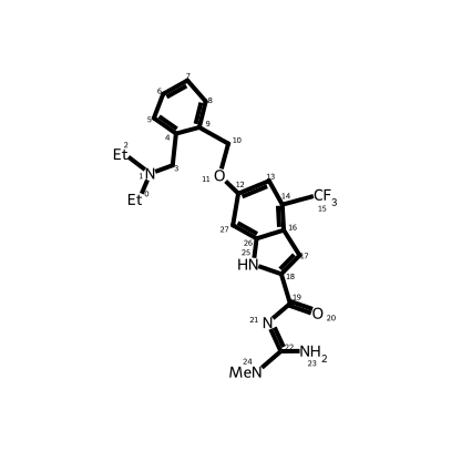 CCN(CC)Cc1ccccc1COc1cc(C(F)(F)F)c2cc(C(=O)N=C(N)NC)[nH]c2c1